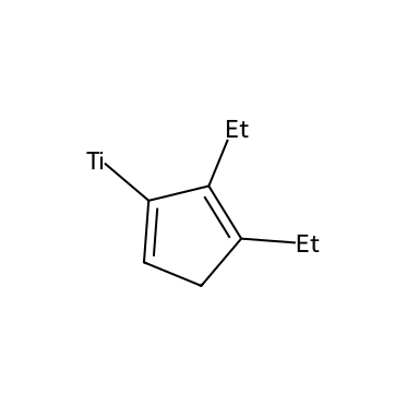 CCC1=C(CC)[C]([Ti])=CC1